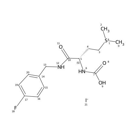 C[S+](C)CC[C@H](NC(=O)O)C(=O)NCc1ccc(F)cc1.[I-]